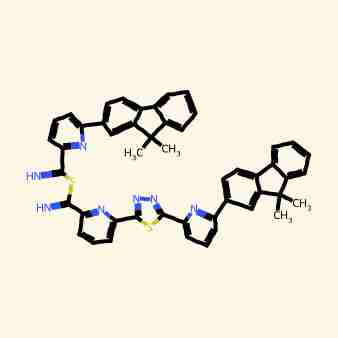 CC1(C)c2ccccc2-c2ccc(-c3cccc(C(=N)SC(=N)c4cccc(-c5nnc(-c6cccc(-c7ccc8c(c7)C(C)(C)c7ccccc7-8)n6)s5)n4)n3)cc21